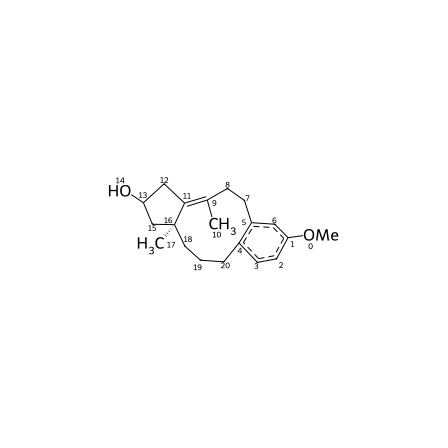 COc1ccc2c(c1)CC/C(C)=C1\CC(O)C[C@]1(C)CCC2